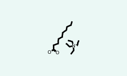 CCCCCCCCCC(=O)[O-].CC[N+](CC)(CC)CC